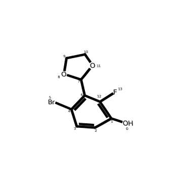 Oc1ccc(Br)c(C2OCCO2)c1F